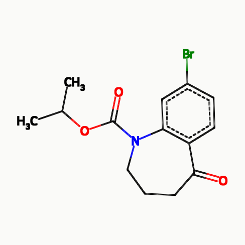 CC(C)OC(=O)N1CCCC(=O)c2ccc(Br)cc21